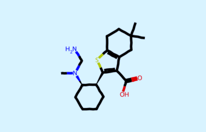 CN(CN)[C@@H]1CCCC[C@@H]1c1sc2c(c1C(=O)O)CC(C)(C)CC2